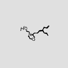 CCCC(=CCCC1COCCN1CCO)CCC